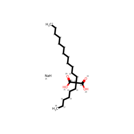 CCCCCCCCCCCCC(CCCCCC)(C(=O)O)C(=O)O.[NaH]